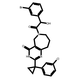 O=C(C(O)c1cccc(Br)c1)N1CCCc2nc(C3(c4cccc(Cl)c4)CC3)[nH]c(=O)c2C1